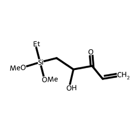 C=CC(=O)C(O)C[Si](CC)(OC)OC